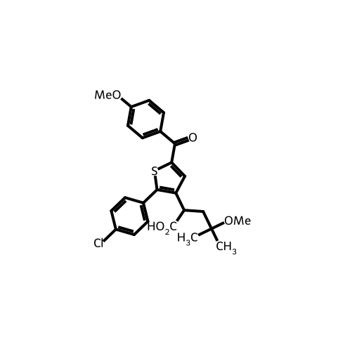 COc1ccc(C(=O)c2cc(C(CC(C)(C)OC)C(=O)O)c(-c3ccc(Cl)cc3)s2)cc1